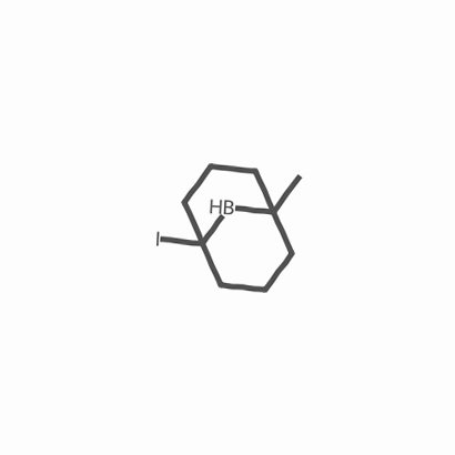 CC12BC(I)(CCC1)CCC2